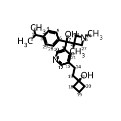 CC(C)c1ccc(C(O)(c2cncc(CCC3(O)CCC3)c2)C2(C)CN(C)C2)cc1